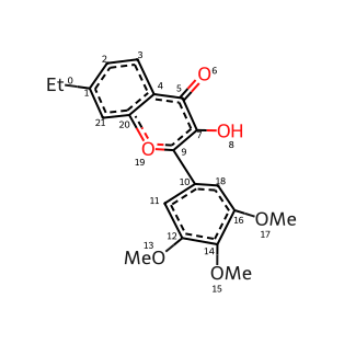 CCc1ccc2c(=O)c(O)c(-c3cc(OC)c(OC)c(OC)c3)oc2c1